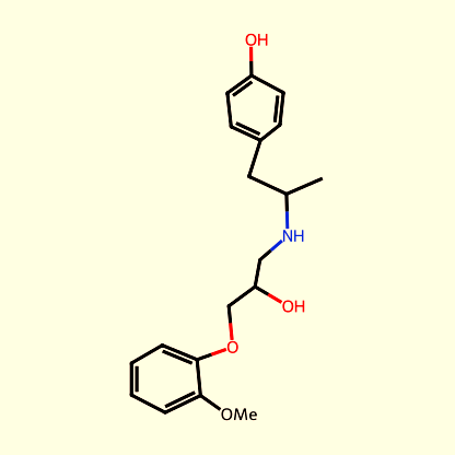 COc1ccccc1OCC(O)CNC(C)Cc1ccc(O)cc1